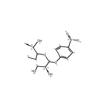 CCC(OC(Oc1ccc([N+](=O)[O-])cc1)[C@@H](O)CO)[C@@H](C)O